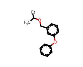 CCC(OCc1cccc(Oc2ccccc2)c1)C(F)(F)F